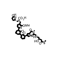 COc1nc(-c2cccc(-c3cccc(-c4cc5c(=O)n(C)c(CNCC(O)CC(=O)N(C)C)nn5c4)c3Cl)c2Cl)ccc1CN(C[C@@H]1CCC(=O)N1)C(=O)O